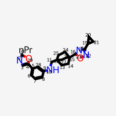 CCCc1ncc(-c2cccc(NCC34CCC(c5nc(C6CC6)no5)(CC3)CC4)c2)o1